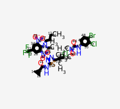 CC(C)(CCl)c1nnc(NC(=O)C2CC2)s1.CCCCN(CC)c1c([N+](=O)[O-])cc(C(F)(F)F)cc1[N+](=O)[O-].CON(C)C(=O)Nc1ccc(Br)c(Cl)c1